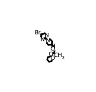 CC(CON=C1CCN(c2ncc(Br)cn2)CC1)OC1CCCCO1